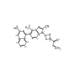 C=CC(=O)N1CC(n2c(C#N)cc3c(C)c(-c4cc(O)cc5ccccc45)ccc32)C1